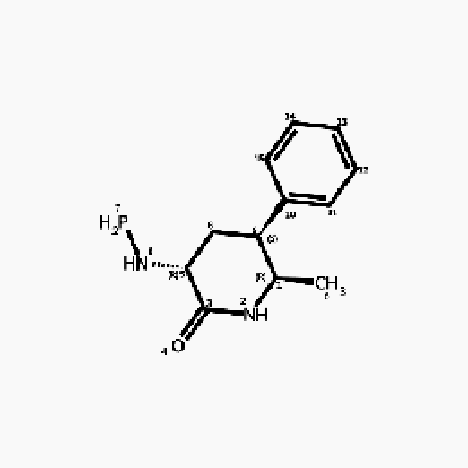 C[C@H]1NC(=O)[C@H](NP)C[C@H]1c1ccccc1